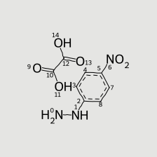 NNc1ccc([N+](=O)[O-])cc1.O=C(O)C(=O)O